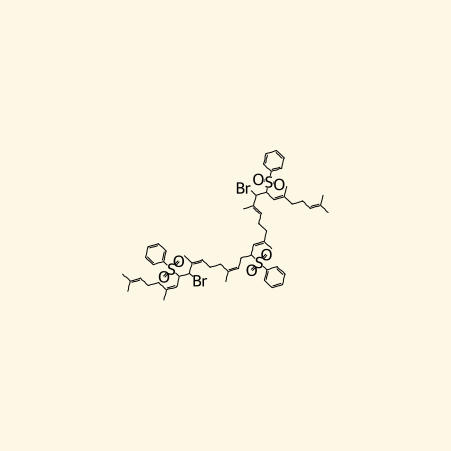 CC(C)=CCCC(C)=CC(C(Br)C(C)=CCCC(C)=CCC(C=C(C)CCC=C(C)C(Br)C(C=C(C)CCC=C(C)C)S(=O)(=O)c1ccccc1)S(=O)(=O)c1ccccc1)S(=O)(=O)c1ccccc1